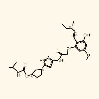 CC[C@H](C)/N=C/c1c(O)cc(OC)cc1OCC(=O)Nc1cc([C@H]2CC[C@@H](OC(=O)NC(C)C)C2)[nH]n1